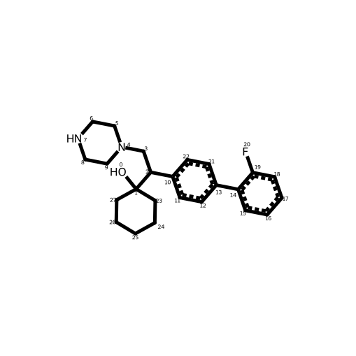 OC1(C(CN2CCNCC2)c2ccc(-c3ccccc3F)cc2)CCCCC1